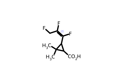 CC1(C)C(C(=O)O)C1/C(F)=C(/F)CF